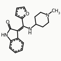 CN1CCC(NC(=C2C(=O)Nc3ccccc32)c2ccco2)CC1